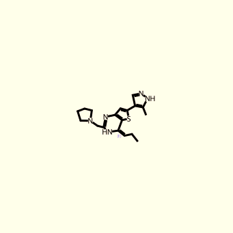 CC/C=C1/NC(CN2CCCC2)=Nc2cc(-c3cn[nH]c3C)sc21